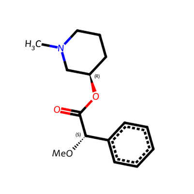 CO[C@H](C(=O)O[C@@H]1CCCN(C)C1)c1ccccc1